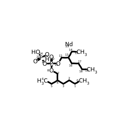 CCCCC(CC)COP(=O)(OCC(CC)CCCC)OP(=O)(O)O.[Nd]